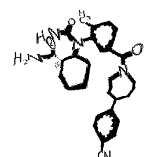 Cc1ccc(C(=O)N2CCC(c3ccc(C#N)cc3)CC2)cc1N(C(N)=O)C1CCCC[C@@H]1C(N)=O